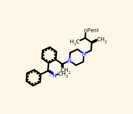 C=C(CN1CCN(C(=C)c2ccccc2/C(=N\C)c2ccccc2)CC1)C(C)CCCCC